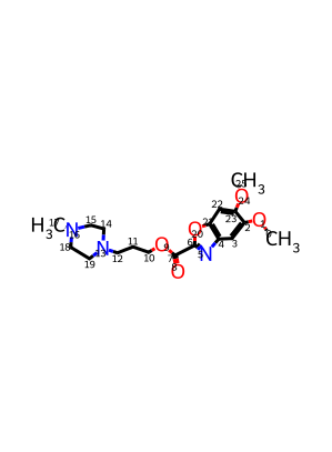 COc1cc2nc(C(=O)OCCCN3CCN(C)CC3)oc2cc1OC